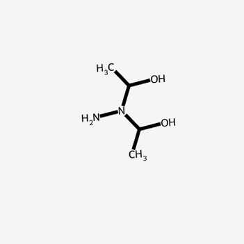 CC(O)N(N)C(C)O